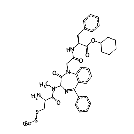 CN(C(=O)C(N)CSSC(C)(C)C)C1N=C(c2ccccc2)c2ccccc2N(CC(=O)N[C@@H](Cc2ccccc2)C(=O)OC2CCCCC2)C1=O